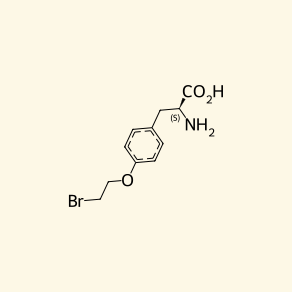 N[C@@H](Cc1ccc(OCCBr)cc1)C(=O)O